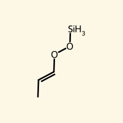 CC=COO[SiH3]